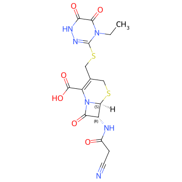 CCn1c(SCC2=C(C(=O)O)N3C(=O)[C@@H](NC(=O)CC#N)[C@@H]3SC2)n[nH]c(=O)c1=O